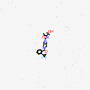 Cc1oc(N2CC3CN(C(=O)c4ccccc4C4CC4(F)F)CC3C2)nc1C(C)(C)O